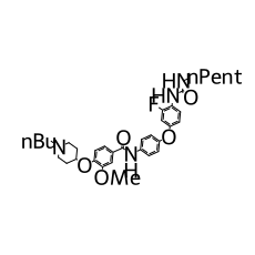 CCCCCNC(=O)Nc1ccc(Oc2ccc(NC(=O)c3ccc(OC4CCN(CCCC)CC4)c(OC)c3)cc2)cc1F